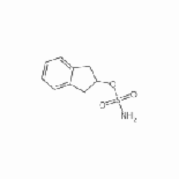 NS(=O)(=O)OC1Cc2ccccc2C1